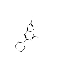 CCCc1nc(N2CCOCC2)cc2nc(CC)nn12